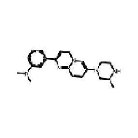 C[C@H]1CN(C2=CN3CC=C(c4cccc(N(C)C)c4)N=C3C=C2)CCN1